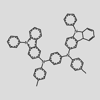 Cc1ccc(N(c2ccc(N(c3ccc(C)cc3)c3ccc4c(c3)c3ccccc3n4-c3ccccc3)cc2)c2ccc3c(c2)C2C=CC=CC2N3c2ccccc2)cc1